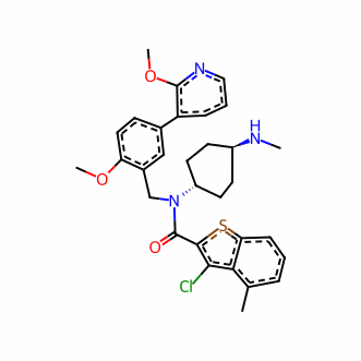 CN[C@H]1CC[C@H](N(Cc2cc(-c3cccnc3OC)ccc2OC)C(=O)c2sc3cccc(C)c3c2Cl)CC1